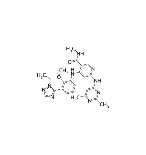 CCn1ncnc1-c1cccc(Nc2cc(Nc3cc(C)nc(C)n3)ncc2C(=O)NC)c1OC